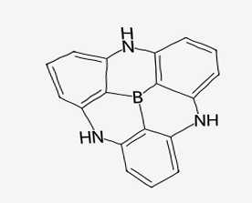 c1cc2c3c(c1)Nc1cccc4c1B3c1c(cccc1N4)N2